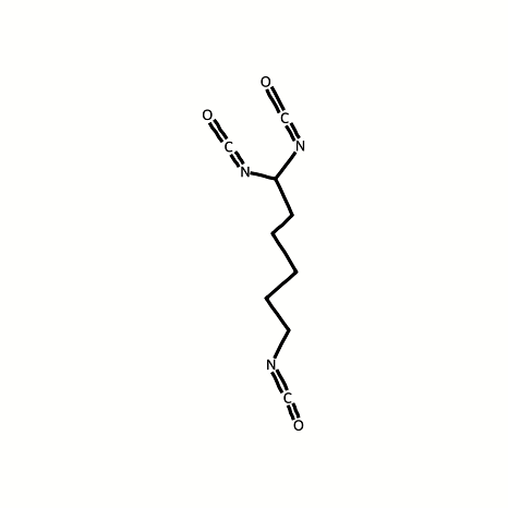 O=C=NCCCCCC(N=C=O)N=C=O